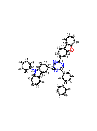 c1ccc(-c2cccc(-c3nc(-c4ccc5c(c4)oc4ccccc45)nc(-c4ccc5c(c4)c4ccccc4n5-c4ccccc4)n3)c2)cc1